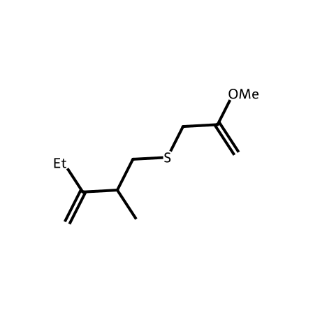 C=C(CSCC(C)C(=C)CC)OC